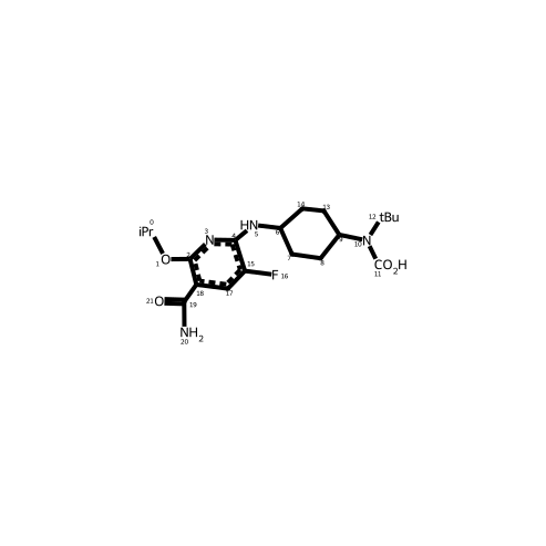 CC(C)Oc1nc(NC2CCC(N(C(=O)O)C(C)(C)C)CC2)c(F)cc1C(N)=O